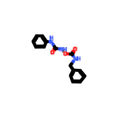 O=C(NOC(=O)NCc1ccccc1)Nc1ccccc1